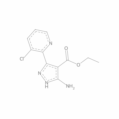 CCOC(=O)c1c(-c2ncccc2Cl)n[nH]c1N